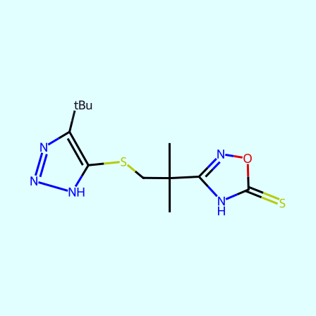 CC(C)(C)c1nn[nH]c1SCC(C)(C)c1noc(=S)[nH]1